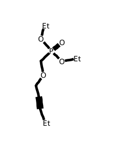 CCC#CCOCP(=O)(OCC)OCC